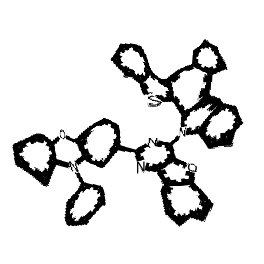 c1ccc(N2c3ccccc3Oc3ccc(-c4nc(-n5c6ccccc6c6c7ccccc7c7c8ccccc8sc7c65)c5oc6ccccc6c5n4)cc32)cc1